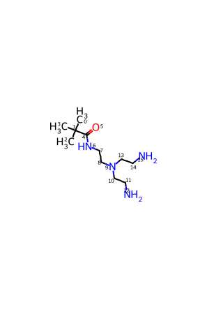 CC(C)(C)C(=O)NCCN(CCN)CCN